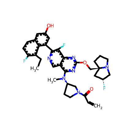 C=CC(=O)N1CC[C@@H](N(C)c2nc(OC[C@@]34CCCN3C[C@H](F)C4)nc3c(F)c(-c4cc(O)cc5ccc(F)c(CC)c45)ncc23)C1